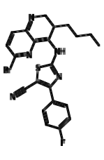 CCCCC1CN=c2ccc(Br)nc2=C1Nc1nc(-c2ccc(F)cc2)c(C#N)s1